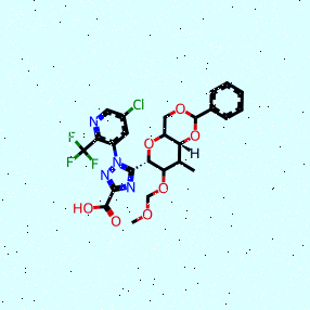 COCOC1C(C)[C@H]2OC(c3ccccc3)OCC2O[C@H]1c1nc(C(=O)O)nn1-c1cc(Cl)cnc1C(F)(F)F